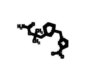 CC(C)(Cc1cccc(Cn2ccc([N+](=O)[O-])n2)c1)OC(N)=O